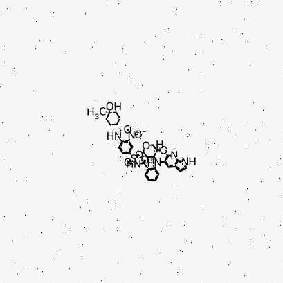 C[C@]1(O)CC[C@H](CNc2ccc(S(=O)(=O)NC(=O)c3ccccc3N3c4cc5cc[nH]c5nc4O[C@H]4COCC[C@@H]43)cc2[N+](=O)[O-])CC1